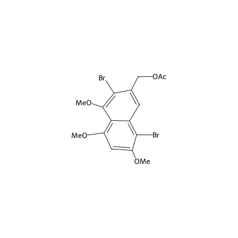 COc1cc(OC)c2c(OC)c(Br)c(COC(C)=O)cc2c1Br